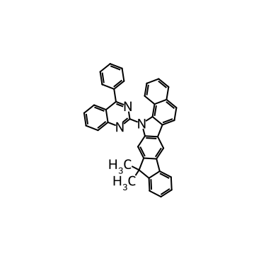 CC1(C)c2ccccc2-c2cc3c4ccc5ccccc5c4n(-c4nc(-c5ccccc5)c5ccccc5n4)c3cc21